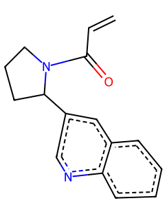 C=CC(=O)N1CCCC1c1cnc2ccccc2c1